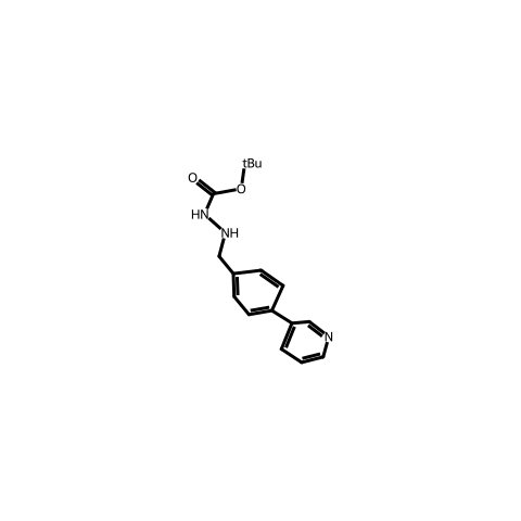 CC(C)(C)OC(=O)NNCc1ccc(-c2cccnc2)cc1